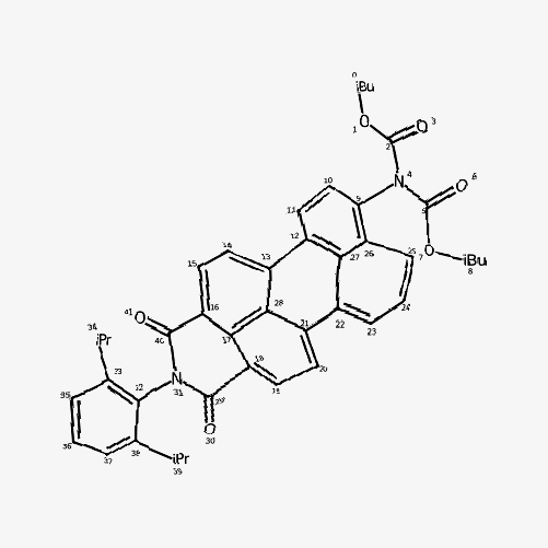 CCC(C)OC(=O)N(C(=O)OC(C)CC)c1ccc2c3ccc4c5c(ccc(c6cccc1c62)c53)C(=O)N(c1c(C(C)C)cccc1C(C)C)C4=O